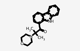 CC(C)(C(=O)c1cccc2c1[nH]c1ccccc12)N1CCOCC1